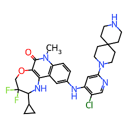 Cn1c(=O)c2c(c3cc(Nc4cc(N5CCC6(CCNCC6)CC5)ncc4Cl)ccc31)NC(C1CC1)C(F)(F)CO2